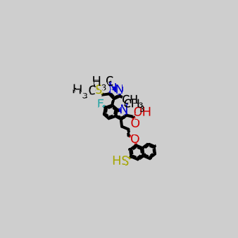 CSCc1c(-c2c(F)ccc3c(CCCOc4cc(S)cc5ccccc45)c(C(=O)O)n(C)c23)c(C)nn1C